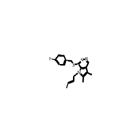 C/C=C/Cn1c(C)c(C)c2cnnc(SCc3ccc(F)cc3)c21